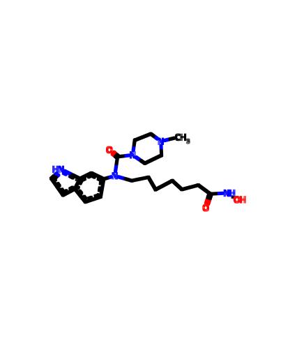 CN1CCN(C(=O)N(CCCCCCC(=O)NO)c2ccc3cc[nH]c3c2)CC1